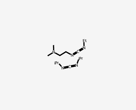 CC(C)N=C=NC(C)C.CCN=C=NCCN(C)C